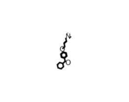 CN(C)C/C=C/COc1ccc(C(=O)C2CCCCC2)cc1